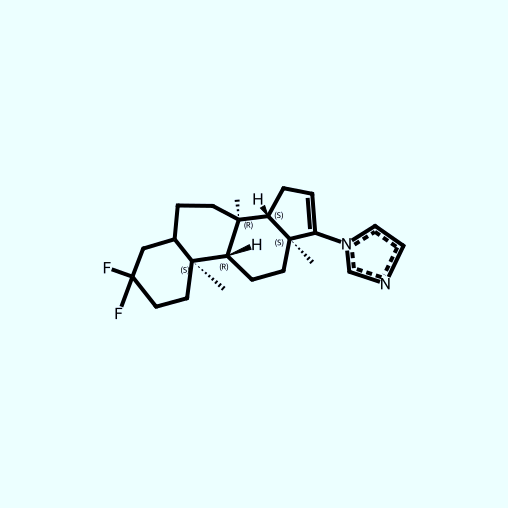 C[C@@]12CCC3CC(F)(F)CC[C@]3(C)[C@H]1CC[C@]1(C)C(n3ccnc3)=CC[C@@H]21